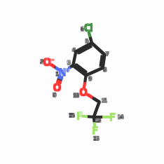 O=[N+]([O-])c1cc(Cl)ccc1OCC(F)(F)F